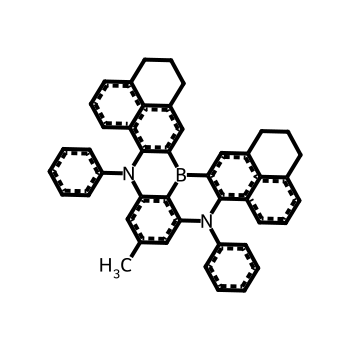 Cc1cc2c3c(c1)N(c1ccccc1)c1c(cc4c5c(cccc15)CCC4)B3c1cc3c4c(cccc4c1N2c1ccccc1)CCC3